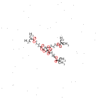 C=C(C)C(=O)OCCCCC(=O)OC1CC(OC(=O)CCCCOC(=O)C(=C)C)[C@H](OC(=O)CCCCOC(=O)C(=C)C)CO1